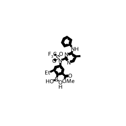 CCc1cc(N(c2ncc(C)c(Nc3ccccc3)n2)S(=O)(=O)C(F)(F)F)cc(C(=O)OC)c1B(O)O